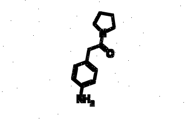 Nc1ccc(CC(=O)N2CCCC2)cc1